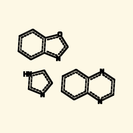 c1c[nH]cn1.c1ccc2nccnc2c1.c1ccc2ocnc2c1